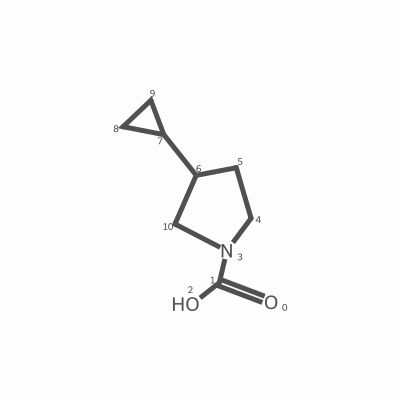 O=C(O)N1CCC(C2CC2)C1